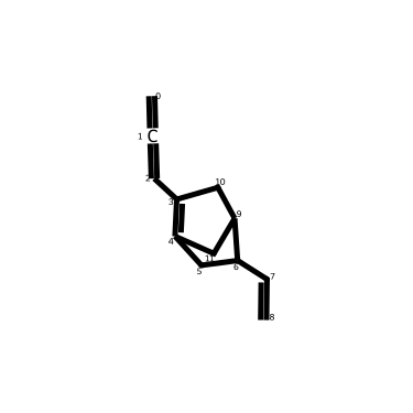 C=C=CC1=C2CC(C=C)C(C1)C2